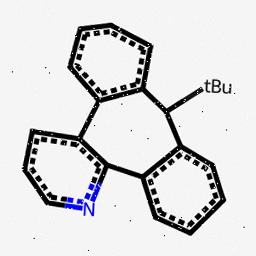 CC(C)(C)C1c2ccccc2-c2cccnc2-c2ccccc21